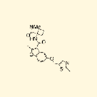 CNC(=O)C1(NC(=O)c2c(C)oc3ccc(OCc4cnc(C)s4)cc23)CCC1